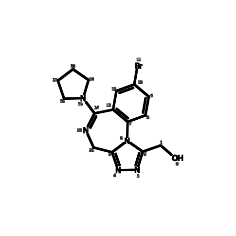 OCc1nnc2n1-c1ccc(Br)cc1C(N1CCCC1)=NC2